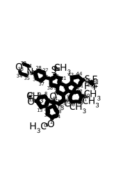 COc1ccc(C2(c3ccc(OC)cc3)C=Cc3c4c(c5cc(SC)c(-c6ccc(N7CCOCC7)cc6)cc5c3O2)-c2ccc(SC(F)(F)F)cc2C42CC(C)(C)CC(C)(C)C2)cc1